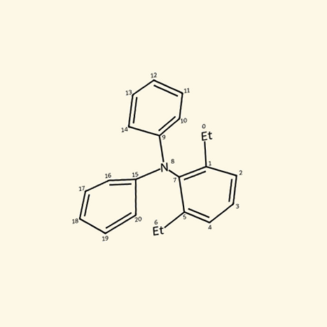 CCc1cccc(CC)c1N(c1ccccc1)c1ccccc1